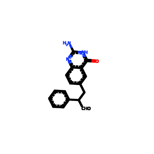 Nc1nc2ccc(CC(C=O)c3ccccc3)cc2c(=O)[nH]1